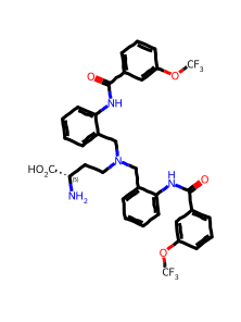 N[C@@H](CCN(Cc1ccccc1NC(=O)c1cccc(OC(F)(F)F)c1)Cc1ccccc1NC(=O)c1cccc(OC(F)(F)F)c1)C(=O)O